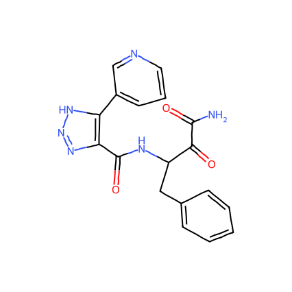 NC(=O)C(=O)C(Cc1ccccc1)NC(=O)c1nn[nH]c1-c1cccnc1